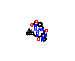 CC(=O)C12C3C4C1C1C2C3C41CNC(=O)c1cc(C(=O)NCc2ccc3c(c2)NC(=O)CO3)nc2ccnn12